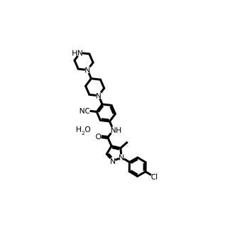 Cc1c(C(=O)Nc2ccc(N3CCC(N4CCNCC4)CC3)c(C#N)c2)cnn1-c1ccc(Cl)cc1.O